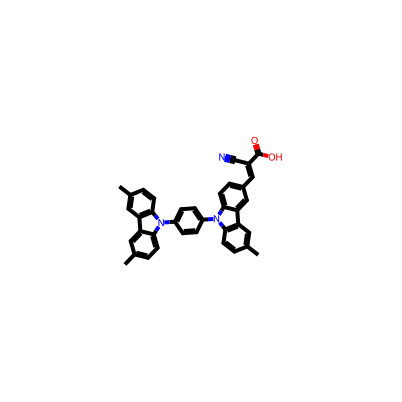 Cc1ccc2c(c1)c1cc(C)ccc1n2-c1ccc(-n2c3ccc(C)cc3c3cc(/C=C(\C#N)C(=O)O)ccc32)cc1